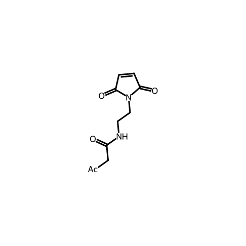 CC(=O)CC(=O)NCCN1C(=O)C=CC1=O